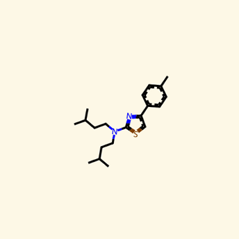 Cc1ccc(-c2csc(N(CCC(C)C)CCC(C)C)n2)cc1